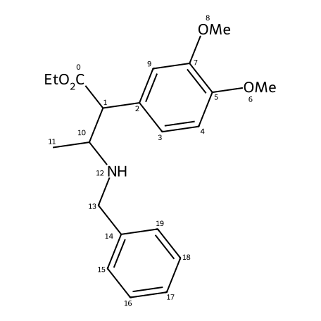 CCOC(=O)C(c1ccc(OC)c(OC)c1)C(C)NCc1ccccc1